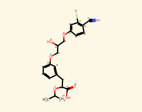 CC(C)OC(Cc1cccc(OCC(O)COc2ccc(C#N)c(F)c2)c1)C(=O)O